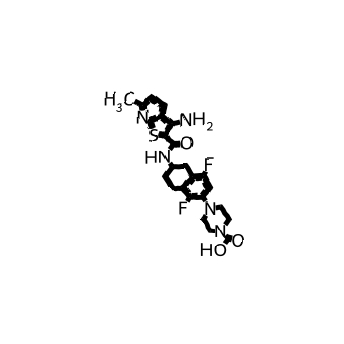 Cc1ccc2c(N)c(C(=O)NC3CCc4c(F)c(N5CCN(C(=O)O)CC5)cc(F)c4C3)sc2n1